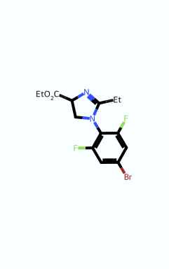 CCOC(=O)C1CN(c2c(F)cc(Br)cc2F)C(CC)=N1